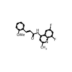 COc1ccccc1C=CC(=O)Nc1cc(C)nc2c(F)cc(F)cc12